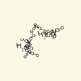 C[Si]1(C)c2cc(-c3ccc(N(c4ccccc4)c4ccc(-c5ccccc5)cc4)cc3)ccc2-c2ccc(-c3ccc(N(c4ccccc4)c4ccc(-c5cccc(-c6cccc(-c7ccc(N(c8ccc(-c9ccccc9)cc8)c8ccc9c(c8)[Si](C)(C)c8cccc%10c(N(c%11ccc(-c%12ccccc%12)cc%11)c%11ccc(-c%12ccccc%12)cc%11)ccc-9c8%10)cc7)c6)c5)cc4)cc3)c3cccc1c23